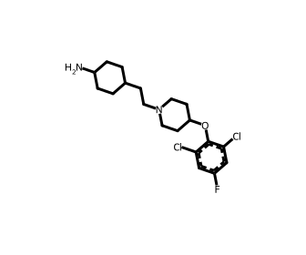 NC1CCC(CCN2CCC(Oc3c(Cl)cc(F)cc3Cl)CC2)CC1